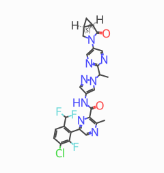 Cc1ncc(-c2c(C(F)F)ccc(Cl)c2F)nc1C(=O)Nc1cnn(C(C)c2ncc(N3C[C@H]4C[C@H]4C3=O)cn2)c1